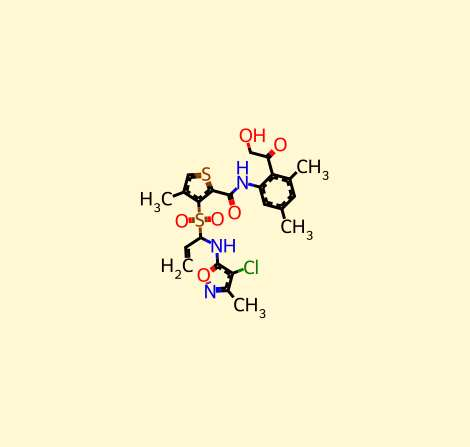 C=CC(Nc1onc(C)c1Cl)S(=O)(=O)c1c(C)csc1C(=O)Nc1cc(C)cc(C)c1C(=O)CO